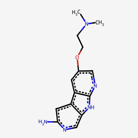 CN(C)CCOc1cnc2[nH]c3cnc(N)cc3c2c1